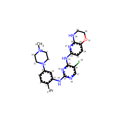 CC(C)c1ccc(N2CCN(C)CC2)cc1Nc1ncc(F)c(Nc2ccc3c(n2)NCCO3)n1